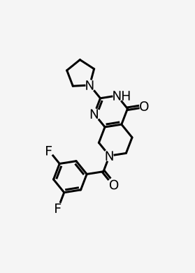 O=C(c1cc(F)cc(F)c1)N1CCc2c(nc(N3CCCC3)[nH]c2=O)C1